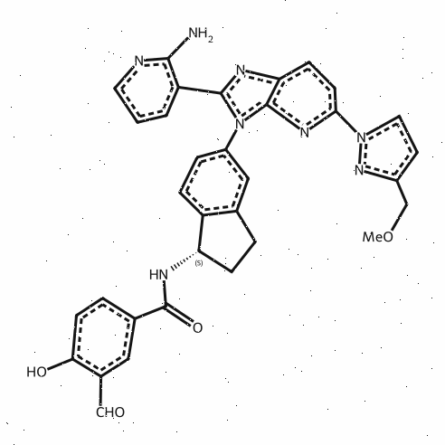 COCc1ccn(-c2ccc3nc(-c4cccnc4N)n(-c4ccc5c(c4)CC[C@@H]5NC(=O)c4ccc(O)c(C=O)c4)c3n2)n1